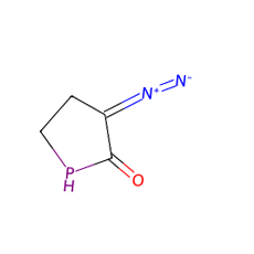 [N-]=[N+]=C1CCPC1=O